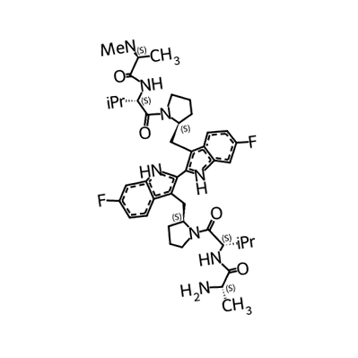 CN[C@@H](C)C(=O)N[C@H](C(=O)N1CCC[C@H]1Cc1c(-c2[nH]c3cc(F)ccc3c2C[C@@H]2CCCN2C(=O)[C@@H](NC(=O)[C@H](C)N)C(C)C)[nH]c2cc(F)ccc12)C(C)C